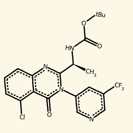 C[C@H](NC(=O)OC(C)(C)C)c1nc2cccc(Cl)c2c(=O)n1-c1cncc(C(F)(F)F)c1